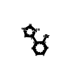 Brc1ccccc1-c1cs[c]n1